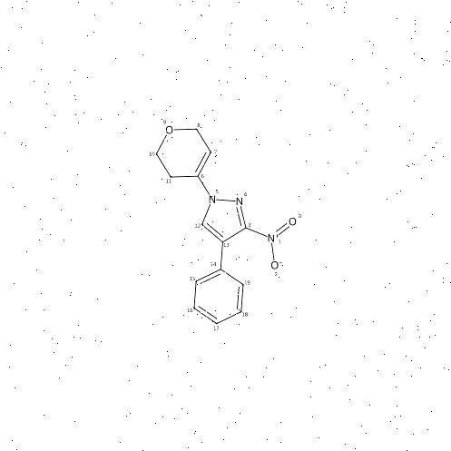 O=[N+]([O-])c1nn(C2=CCOCC2)cc1-c1ccccc1